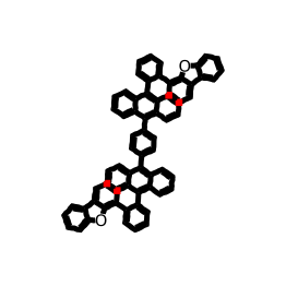 c1ccc(-c2cccc3c2oc2ccccc23)c(-c2c3ccccc3c(-c3ccc(-c4c5ccccc5c(-c5ccccc5-c5cccc6c5oc5ccccc56)c5ccccc45)cc3)c3ccccc23)c1